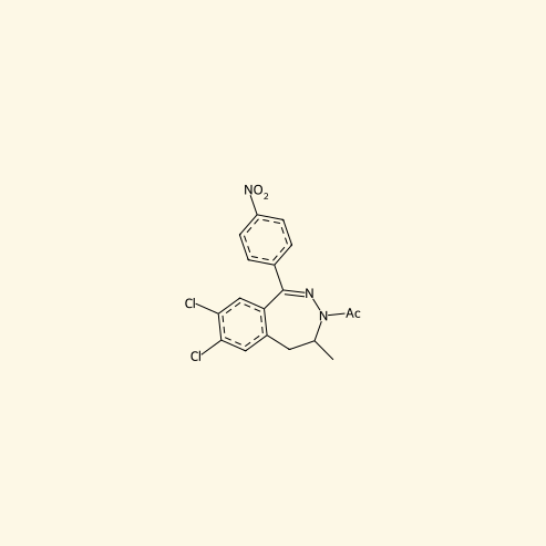 CC(=O)N1N=C(c2ccc([N+](=O)[O-])cc2)c2cc(Cl)c(Cl)cc2CC1C